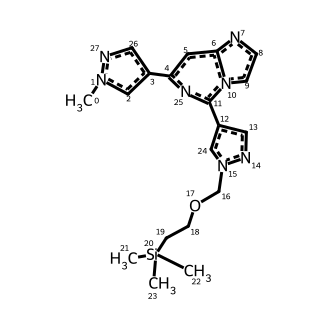 Cn1cc(-c2cc3nccn3c(-c3cnn(COCC[Si](C)(C)C)c3)n2)cn1